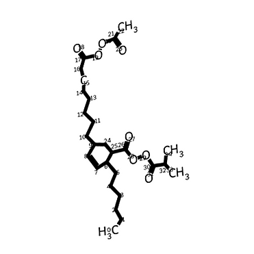 CCCCCCC1C=CC(CCCCCCCC(=O)OOC(C)=O)CC1C(=O)OOC(=O)C(C)C